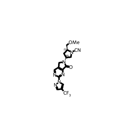 COC[C@@H]1C[C@@H](N2Cc3cnc(-n4cc(C(F)(F)F)cn4)nc3C2=O)CN1C#N